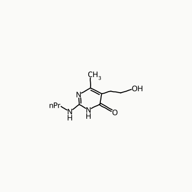 CCCNc1nc(C)c(CCO)c(=O)[nH]1